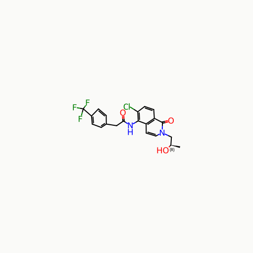 C[C@@H](O)Cn1ccc2c(NC(=O)Cc3ccc(C(F)(F)F)cc3)c(Cl)ccc2c1=O